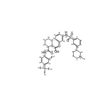 CN1CCC[C@@H](c2cccc(S(=O)(=O)Nc3ccc([C@H]4CCCC(C(=O)Nc5ccc(C(F)(F)F)cc5F)C4C(=O)O)cc3)c2)C1